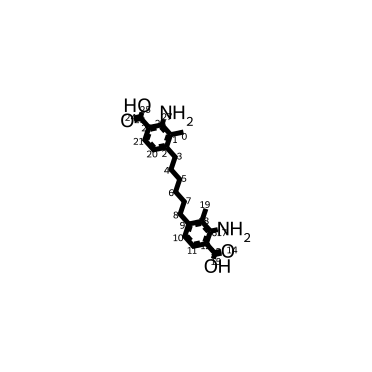 Cc1c(CCCCCCc2ccc(C(=O)O)c(N)c2C)ccc(C(=O)O)c1N